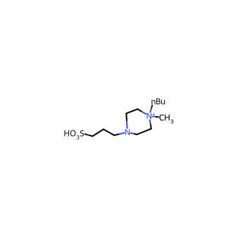 CCCC[N+]1(C)CCN(CCCS(=O)(=O)O)CC1